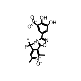 Cc1cc(C(F)(F)F)c(-c2nc(-c3cc(O)c(O)c([N+](=O)[O-])c3)no2)c(C)[n+]1[O-]